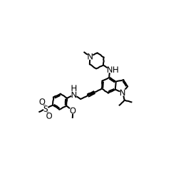 COc1cc(S(C)(=O)=O)ccc1NCC#Cc1cc(NC2CCN(C)CC2)c2ccn(C(C)C)c2c1